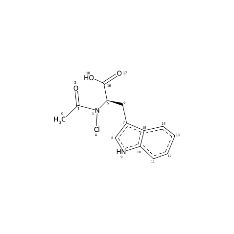 CC(=O)N(Cl)[C@H](Cc1c[nH]c2ccccc12)C(=O)O